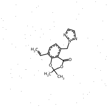 C=Cc1ccc(Cn2nccn2)c2c1OC(C)(C)OC2=O